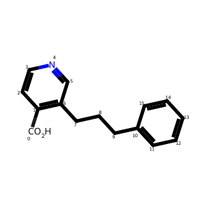 O=C(O)c1ccncc1CCCc1ccccc1